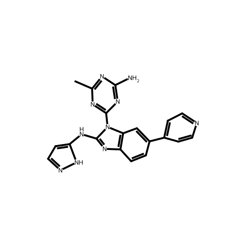 Cc1nc(N)nc(-n2c(Nc3ccn[nH]3)nc3ccc(-c4ccncc4)cc32)n1